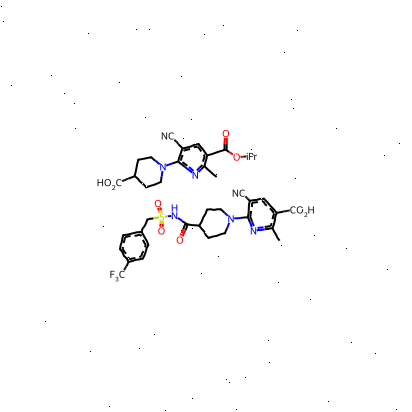 Cc1nc(N2CCC(C(=O)NS(=O)(=O)Cc3ccc(C(F)(F)F)cc3)CC2)c(C#N)cc1C(=O)O.Cc1nc(N2CCC(C(=O)O)CC2)c(C#N)cc1C(=O)OC(C)C